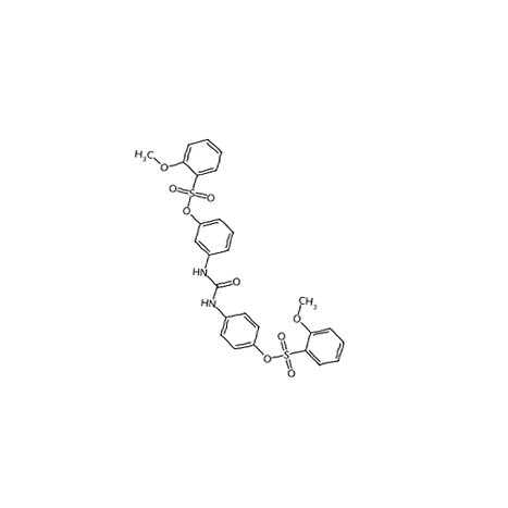 COc1ccccc1S(=O)(=O)Oc1ccc(NC(=O)Nc2cccc(OS(=O)(=O)c3ccccc3OC)c2)cc1